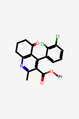 Cc1nc2c(c(-c3cccc(Cl)c3Cl)c1C(=O)OC(C)C)C(=O)CCC2